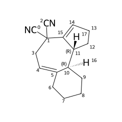 N#CC1(C#N)CC=C2CCCC[C@@H]2[C@H]2CCC=C21